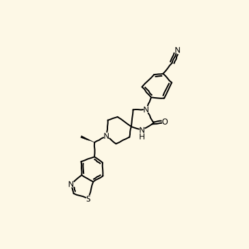 C[C@H](c1ccc2scnc2c1)N1CCC2(CC1)CN(c1ccc(C#N)cc1)C(=O)N2